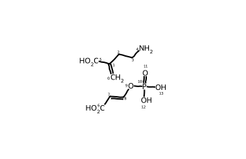 C=C(CCN)C(=O)O.O=C(O)C=COP(=O)(O)O